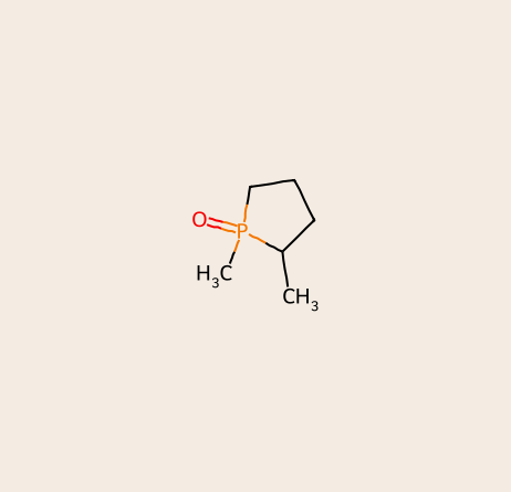 CC1CCCP1(C)=O